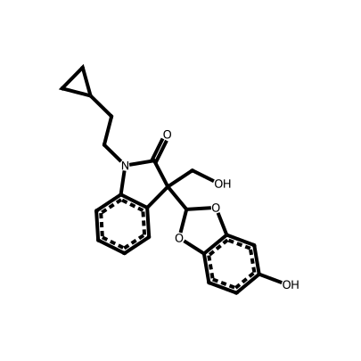 O=C1N(CCC2CC2)c2ccccc2C1(CO)C1Oc2ccc(O)cc2O1